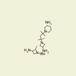 CC(C)(C)N1CC(N)C1C[C@H]1C(N)CN1C(C)(C)CC(C)(C)N1CCC[C@@H](N)C1